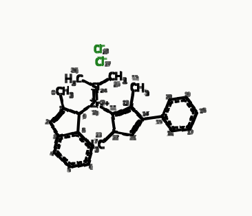 CC1=Cc2ccccc2[CH]1[Zr+2]([C]1=C(C)C(c2ccccc2)=CC1C)=[Si](C)C.[Cl-].[Cl-]